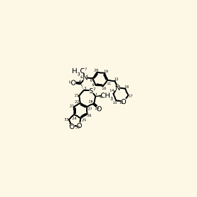 C[C@@H]1S[C@@H](C(=O)N(C)c2ccc(CN3CCOCC3)cc2)Cc2cc3c(cc2C1=O)OOC3